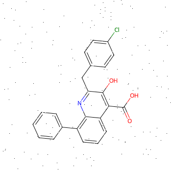 O=C(O)c1c(O)c(Cc2ccc(Cl)cc2)nc2c(-c3ccccc3)cccc12